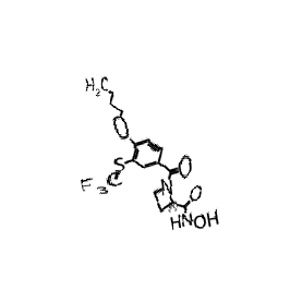 C=CCCOc1ccc(C(=O)N2CC[C@@H]2C(=O)NO)cc1SC(F)(F)F